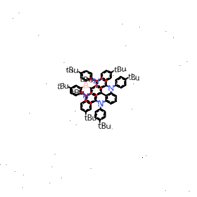 CC(C)(C)c1ccc(N(c2ccc(C(C)(C)C)cc2)c2cccc(N(c3ccc(C(C)(C)C)cc3)c3ccc(C(C)(C)C)cc3)c2-c2cc3c4c(c2)N(c2ccc(C(C)(C)C)cc2)c2ccc(C(C)(C)C)cc2B4c2cc(C(C)(C)C)ccc2N3c2ccc(C(C)(C)C)cc2)cc1